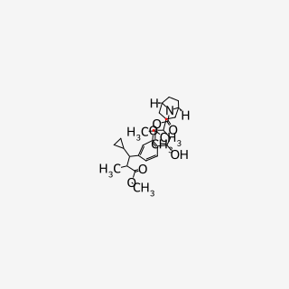 COC(=O)C(C)C(c1ccc2c(c1)OC(C1C[C@H]3CC[C@@H](C1)N3C(=O)OC(C)(C)C)CC2O)C1CC1